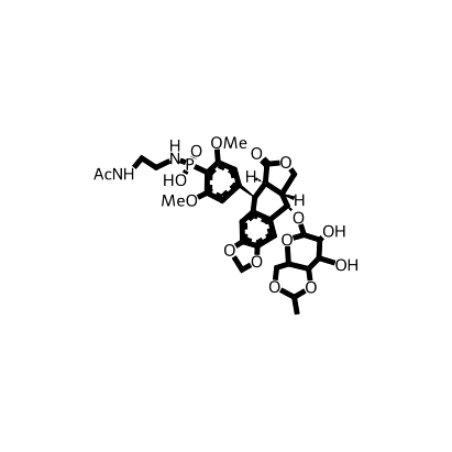 COc1cc([C@@H]2c3cc4c(cc3[C@@H](OC3OC5COC(C)OC5C(O)C3O)[C@H]3COC(=O)[C@H]23)OCO4)cc(OC)c1P(=O)(O)NCCNC(C)=O